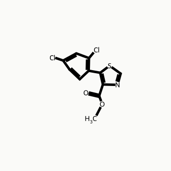 COC(=O)c1ncsc1-c1ccc(Cl)cc1Cl